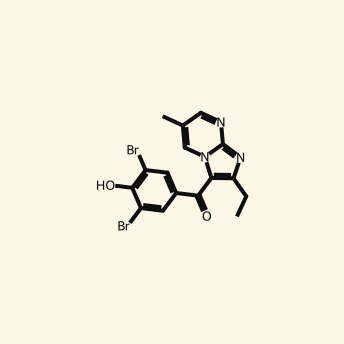 CCc1nc2ncc(C)cn2c1C(=O)c1cc(Br)c(O)c(Br)c1